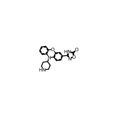 O=c1[nH]c(-c2ccc3c(c2)Oc2ccccc2N3C2CCNCC2)no1